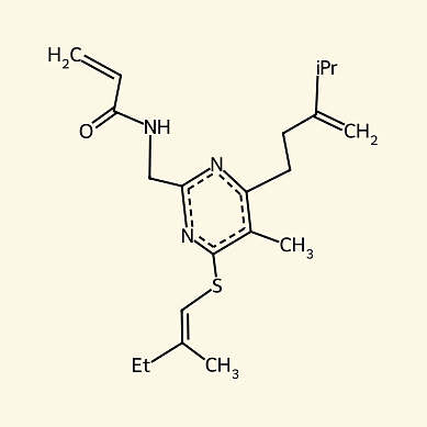 C=CC(=O)NCc1nc(CCC(=C)C(C)C)c(C)c(S/C=C(\C)CC)n1